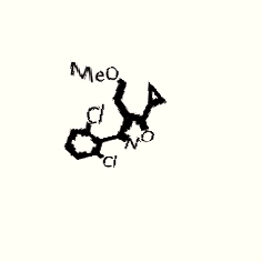 COC=Cc1c(-c2c(Cl)cccc2Cl)noc1C1CC1